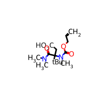 C=CCOC(=O)N(C)C(CC(=O)O)(C(=O)N(C)C)C(C)(C)C